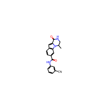 CC1CNC(=O)c2cc3ccc(C(=O)Nc4cccc(C#N)c4)cc3n21